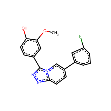 COc1cc(-c2nnc3ccc(-c4cccc(F)c4)cn23)ccc1O